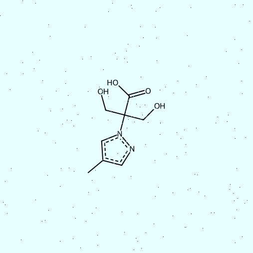 Cc1cnn(C(CO)(CO)C(=O)O)c1